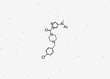 CC(=O)N(C)c1cnn(C(=O)N2CCN(Cc3ccc(Cl)cc3)CC2)c1